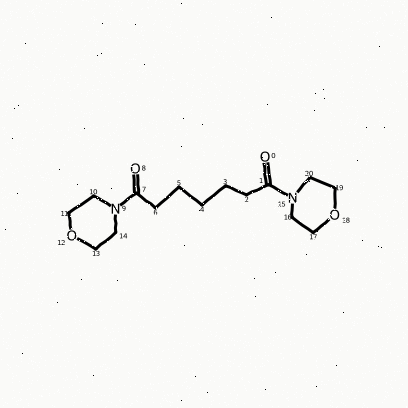 O=C(CCCCCC(=O)N1CCOCC1)N1CCOCC1